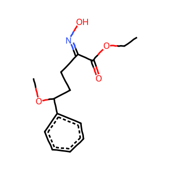 CCOC(=O)/C(CCC(OC)c1ccccc1)=N\O